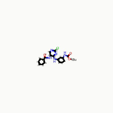 CC(C)(C)OC(=O)Nc1cccc(Nc2nc(Cl)ncc2NC(=O)c2ccccc2)c1